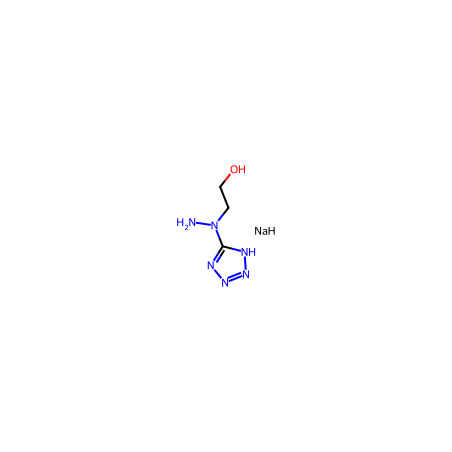 NN(CCO)c1nnn[nH]1.[NaH]